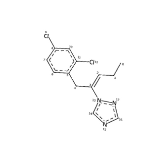 CCC=C(Cc1ccc(Cl)cc1Cl)n1cncn1